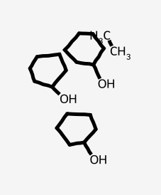 CC.OC1CCCCC1.OC1CCCCC1.OC1CCCCC1